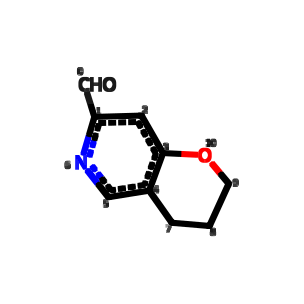 O=Cc1cc2c(cn1)CCCO2